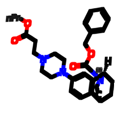 CCCOC(=O)CCN1CCN(c2ccc3c(c2)[C@H]2CCC3CCN2C(=O)OCc2ccccc2)CC1